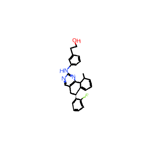 CC1C=CC=C2C1c1nc(Nc3cccc(CCO)c3)ncc1C[C@H]2c1ccccc1F